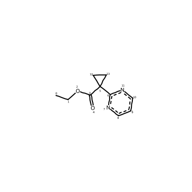 CCOC(=O)C1(c2nc[c]cn2)CC1